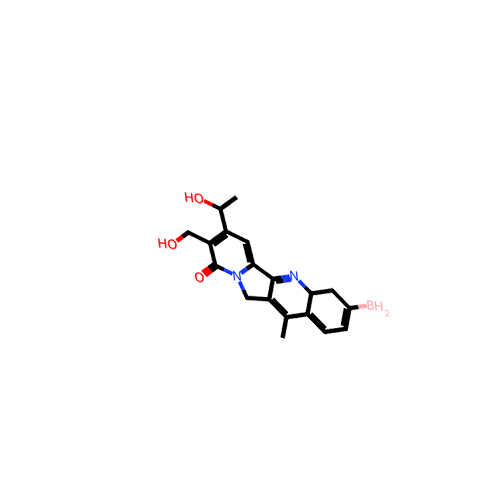 BC1=CC=C2C(C)=C3Cn4c(cc(C(C)O)c(CO)c4=O)C3=NC2C1